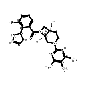 Cc1nc(N2CC[C@@H]3CN(C(=O)c4cccc(F)c4C4CC=NN4)[C@@H]3C2)nc(C)c1C